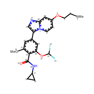 CNCCOc1ccn2c(-c3cc(OC)c(C(=O)NC4CC4)c(OC(F)F)c3)cnc2c1